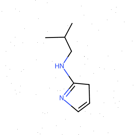 CC(C)CNC1=NC=CC1